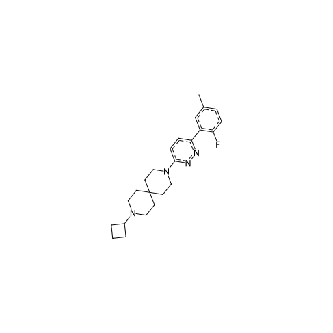 Cc1ccc(F)c(-c2ccc(N3CCC4(CC3)CCN(C3CCC3)CC4)nn2)c1